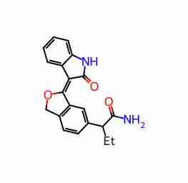 CCC(C(N)=O)c1ccc2c(c1)C(=C1C(=O)Nc3ccccc31)OC2